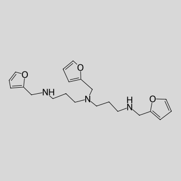 c1coc(CNCCCN(CCCNCc2ccco2)Cc2ccco2)c1